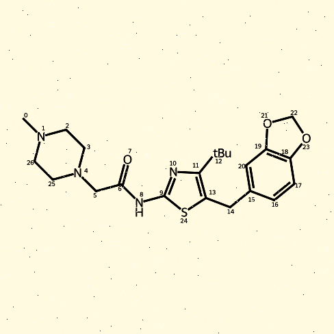 CN1CCN(CC(=O)Nc2nc(C(C)(C)C)c(Cc3ccc4c(c3)OCO4)s2)CC1